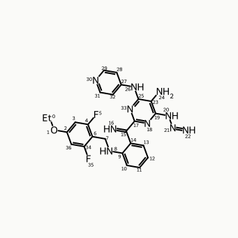 CCOc1cc(F)c(CNc2ccccc2C(=N)c2nc(NN=N)c(N)c(Nc3ccncc3)n2)c(F)c1